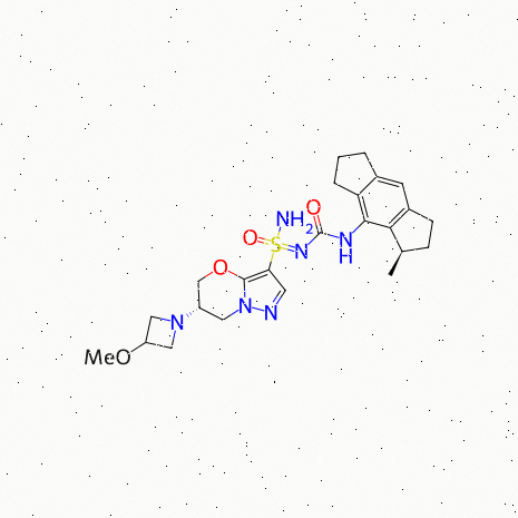 COC1CN([C@@H]2COc3c(S(N)(=O)=NC(=O)Nc4c5c(cc6c4[C@H](C)CC6)CCC5)cnn3C2)C1